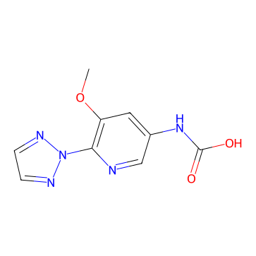 COc1cc(NC(=O)O)cnc1-n1nccn1